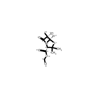 CC1(C)S[C@H]2N(C(=O)[C@@]2(Cl)I)[C@H]1C(=O)OCCl